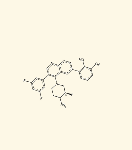 N#Cc1cccc(-c2ccc3ncc(-c4cc(F)cc(F)c4)c(N4CCC(N)[C@H](F)C4)c3c2)c1O